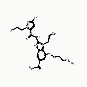 CCCn1c(NC(=O)c2cc(C)nn2CCF)nc2cc(C(N)=O)cc(OCCCOC)c21